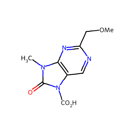 COCc1ncc2c(n1)n(C)c(=O)n2C(=O)O